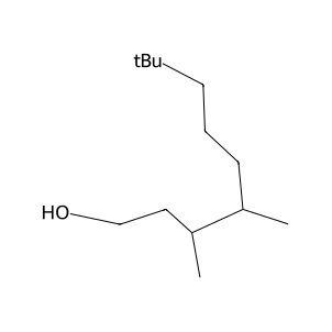 CC(CCO)C(C)CCCC(C)(C)C